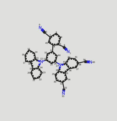 N#Cc1ccc(C#N)c(-c2cc(-n3c4ccccc4c4ccccc43)cc(-n3c4ccc(C#N)cc4c4cc(C#N)ccc43)c2)c1